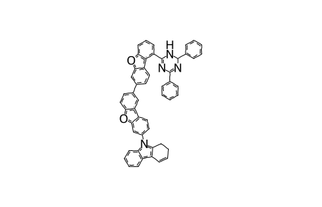 C1=Cc2c(n(-c3ccc4c(c3)oc3ccc(-c5ccc6c(c5)oc5cccc(C7=NC(c8ccccc8)=NC(c8ccccc8)N7)c56)cc34)c3ccccc23)CC1